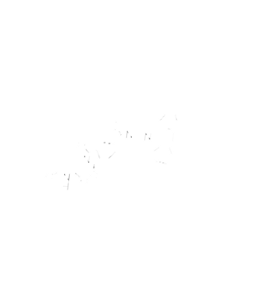 O=C1CCC(N2C(=O)c3ccc(C(=O)N4CCN(C(c5ccccc5F)c5ccccc5F)CC4)cc3C2=O)C(=O)N1